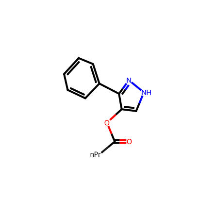 CCCC(=O)Oc1c[nH]nc1-c1ccccc1